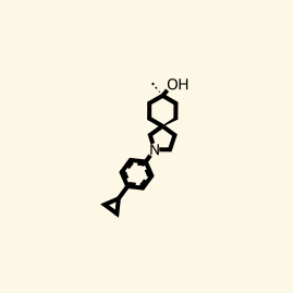 C[C@]1(O)CC[C@]2(CCN(c3ccc(C4CC4)cc3)C2)CC1